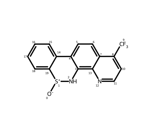 [O-][S+]1Nc2c(ccc3c(C(F)(F)F)ccnc23)-c2ccccc21